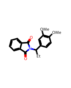 CCC(c1ccc(OC)c(OC)c1)N1C(=O)c2ccccc2C1=O